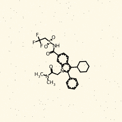 CN(C)C(=O)Cn1c(-c2ccccc2)c(C2CCCCC2)c2ccc(C(=O)NS(=O)(=O)CC(F)(F)F)cc21